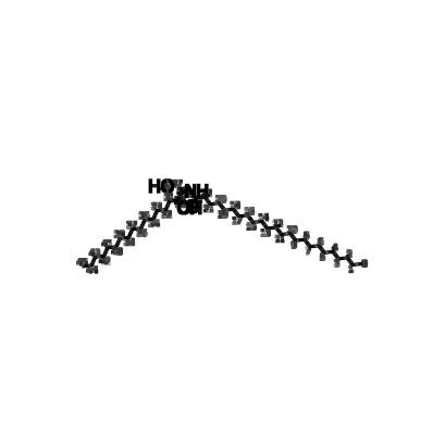 CCCCCCCCCCCCCCCCCCCCCCCC(=O)N[C@@H](CO)[C@H](O)CCCCCCCCCCCCCCC